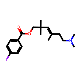 C/C(=C\C(C)(C)COC(=O)c1ccc(I)cc1)CCN(C)C